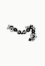 Cc1cc(-c2ncnc3[nH]c4cc(N5CCN(CC6CCN(c7ccc(N8CCC(=O)NC8=O)cc7)CC6)CC5)ccc4c23)c(F)cc1[C@@H](C)NC(=O)c1noc(C(C)(C)C)n1